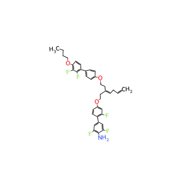 C=CC/C=C(\CCOc1ccc(-c2ccc(OCCCC)c(F)c2F)cc1)CCOc1ccc(-c2cc(F)c(N)c(F)c2)c(F)c1